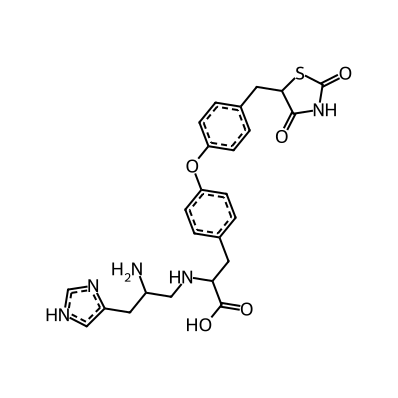 NC(CNC(Cc1ccc(Oc2ccc(CC3SC(=O)NC3=O)cc2)cc1)C(=O)O)Cc1c[nH]cn1